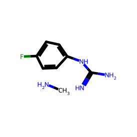 CN.N=C(N)Nc1ccc(F)cc1